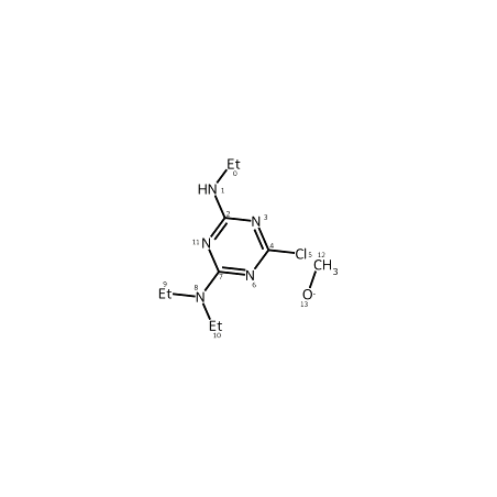 CCNc1nc(Cl)nc(N(CC)CC)n1.C[O]